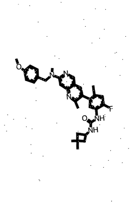 COc1ccc(CN(C)c2cc3nc(C)c(-c4cc(NC(=O)NC5CC(C)(C)C5)c(F)cc4C)cc3cn2)cc1